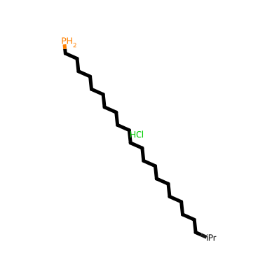 CC(C)CCCCCCCCCCCCCCCCCCCCCP.Cl